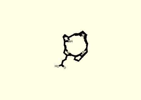 O=C(O)CCC1CC2=Cc3ccc([nH]3)C=c3ccc([nH]3)=CC3C=C4CCC(=C4N3)C1=N2